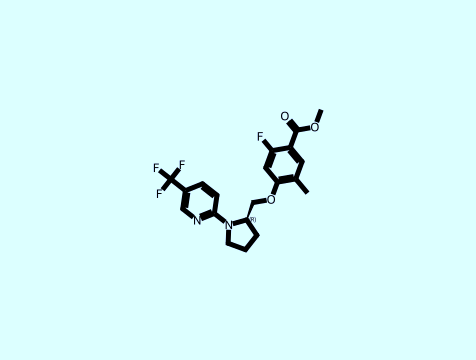 COC(=O)c1cc(C)c(OC[C@H]2CCCN2c2ccc(C(F)(F)F)cn2)cc1F